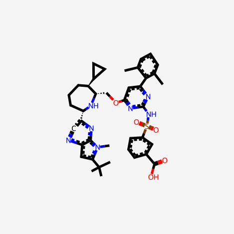 Cc1cccc(C)c1-c1cc(OC[C@@H]2N[C@H](c3cnc4cc(C(C)(C)C)n(C)c4n3)CCC[C@H]2C2CC2)nc(NS(=O)(=O)c2cccc(C(=O)O)c2)n1